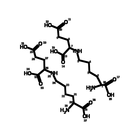 NC(CCCCNC(CCC(=O)O)C(=O)O)C(=O)O.NC(CCCCNC(CCC(=O)O)C(=O)O)C(=O)O